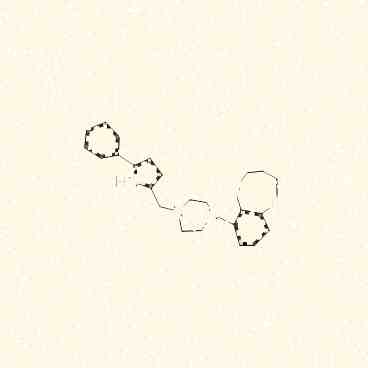 c1ccc(-c2ccc(CN3CCN(c4cccc5c4OCCCO5)CC3)[nH]2)cc1